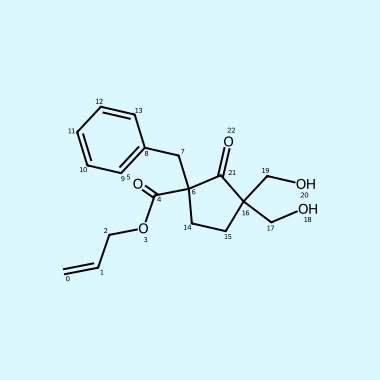 C=CCOC(=O)C1(Cc2ccccc2)CCC(CO)(CO)C1=O